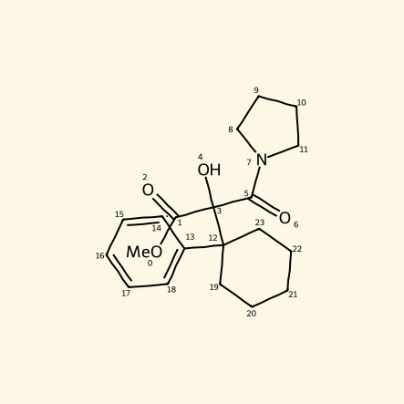 COC(=O)C(O)(C(=O)N1CCCC1)C1(c2[c]cccc2)CCCCC1